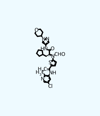 Cc1ncc(Cl)cc1N[C@@H](C)c1ccc(N(C=O)[C@@H](CC2CCCC2)C(=O)Nc2cnn(C3CCOCC3)c2)s1